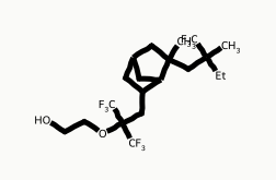 CCC(C)(CC1(C)CC2CC(CC(OCCO)(C(F)(F)F)C(F)(F)F)C1C2)C(F)(F)F